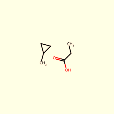 CCC(=O)O.C[C]1CC1